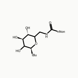 CCCCCCCCCC(=O)NCC1O[C@@H](C(C)(C)C)C(O)[C@@H](O)[C@@H]1O